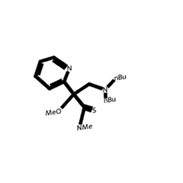 CCCCN(CCCC)CC(OC)(C(=S)NC)c1ccccn1